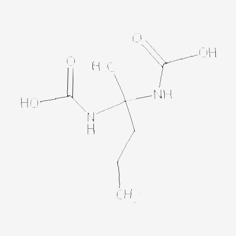 [CH2]CCC(C)(NC(=O)O)NC(=O)O